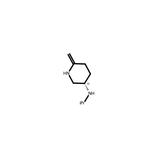 C=C1CC[C@H](NC(C)C)CN1